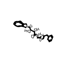 O=C(NCc1nc(Cc2ccccc2)co1)[C@H](O)[C@@H](O)C(=O)N1Cc2ccccc2C1